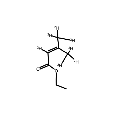 [2H]C(C(=O)OCC)=C(C([2H])([2H])[2H])C([2H])([2H])[2H]